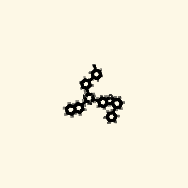 Cc1cccc(-c2cccc(-c3nc(-c4ccc5ccccc5c4)nc(-c4ccc5c(c4)oc4cccc(-c6ccccc6)c45)n3)c2)c1